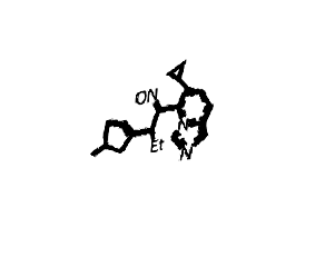 CCC(C1=CCC(C)C1)C(N=O)c1c(C2CC2)ccc2cncn12